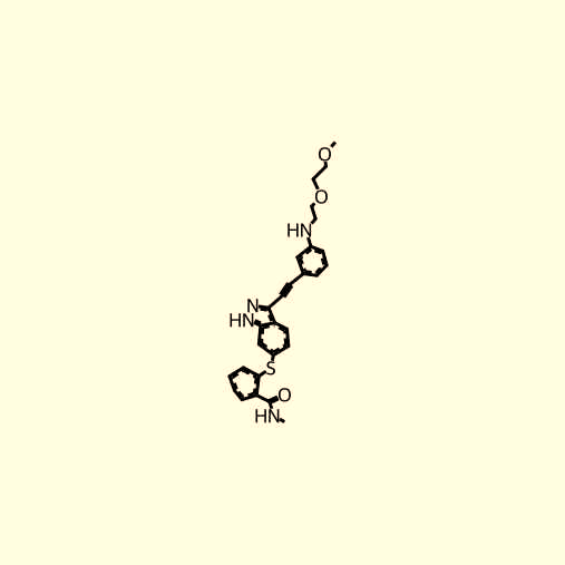 CNC(=O)c1ccccc1Sc1ccc2c(C#Cc3cccc(NCCOCCOC)c3)n[nH]c2c1